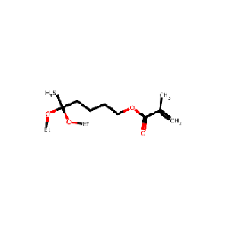 C=C(C)C(=O)OCCCCC([SiH3])(OCC)OCC